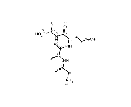 CSCC[C@H](NC(=O)[C@H](C)NC(=O)CN)C(=O)N[C@@H](C)C(=O)O